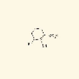 CCC1CCCC(C(=O)O)=C1C#N